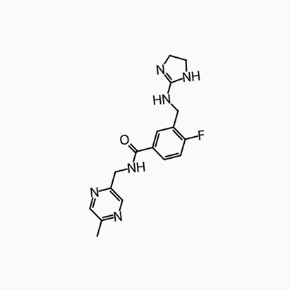 Cc1cnc(CNC(=O)c2ccc(F)c(CNC3=NCCN3)c2)cn1